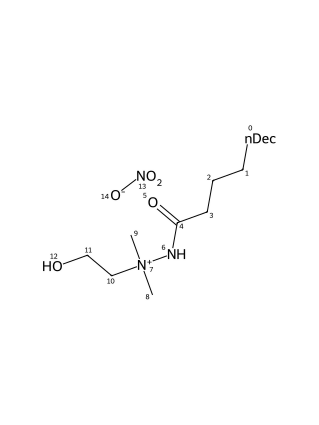 CCCCCCCCCCCCCC(=O)N[N+](C)(C)CCO.O=[N+]([O-])[O-]